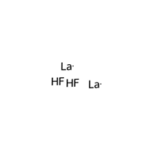 F.F.[La].[La]